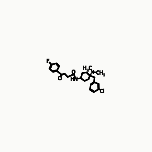 CN(C)C1(Cc2cccc(Cl)c2)CCC(NC(=O)CCC(=O)c2ccc(F)cc2)CC1